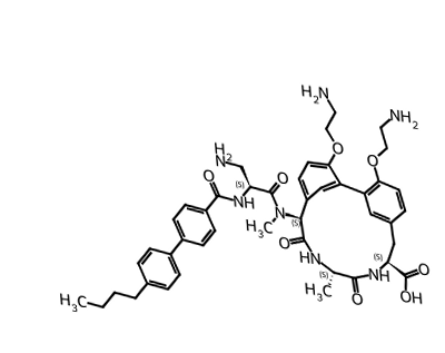 CCCCc1ccc(-c2ccc(C(=O)N[C@@H](CN)C(=O)N(C)[C@@H]3C(=O)N[C@@H](C)C(=O)N[C@H](C(=O)O)Cc4ccc(OCCN)c(c4)-c4cc3ccc4OCCN)cc2)cc1